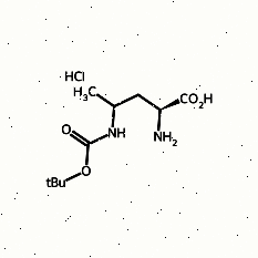 CC(C[C@H](N)C(=O)O)NC(=O)OC(C)(C)C.Cl